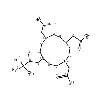 CC(C)(C)C(=O)CN1CCN(CC(=O)O)CCN(CC(=O)O)CCN(CC(=O)O)CC1